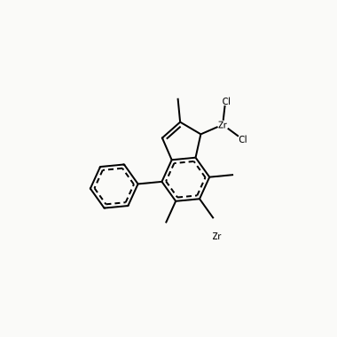 CC1=Cc2c(-c3ccccc3)c(C)c(C)c(C)c2[CH]1[Zr]([Cl])[Cl].[Zr]